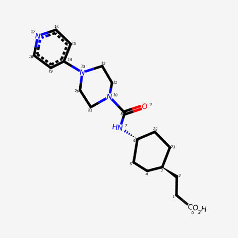 O=C(O)CC[C@H]1CC[C@H](NC(=O)N2CCN(c3ccncc3)CC2)CC1